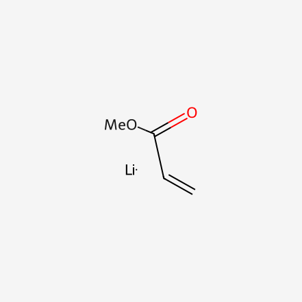 C=CC(=O)OC.[Li]